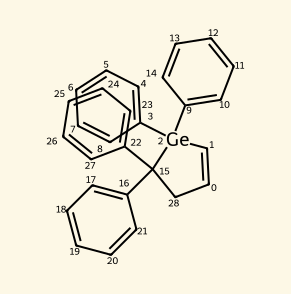 C1=[CH][Ge]([c]2ccccc2)([c]2ccccc2)[C](c2ccccc2)(c2ccccc2)C1